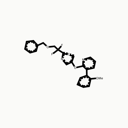 COc1ccccc1-c1cccnc1Oc1ccc(C(F)(F)COCc2ccccc2)nc1